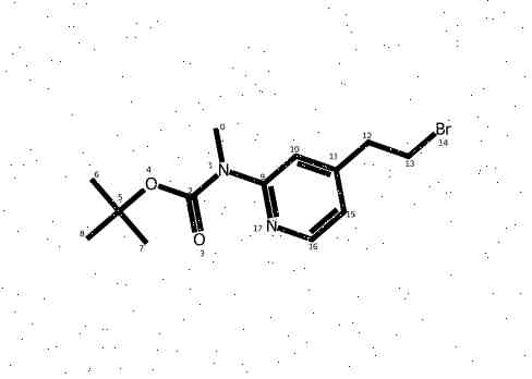 CN(C(=O)OC(C)(C)C)c1cc(CCBr)ccn1